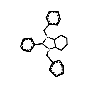 c1ccc(CN2C3CCCCC3N(Cc3ccccc3)C2c2ccccc2)cc1